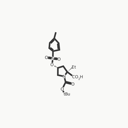 CC[C@@]1(C(=O)O)C[C@@H](OS(=O)(=O)c2ccc(C)cc2)CN1C(=O)OC(C)(C)C